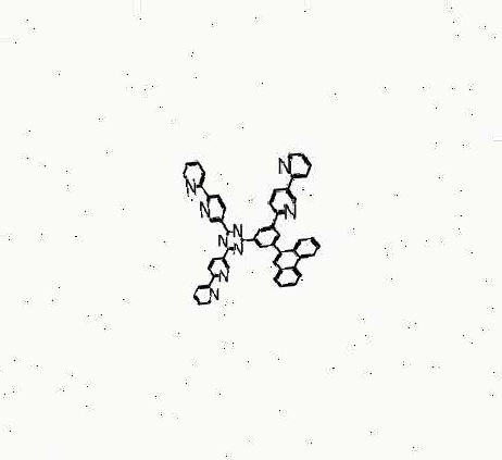 c1ccc(-c2ccc(-c3cc(-c4nc(-c5ccc(-c6ccccn6)nc5)nc(-c5ccc(-c6ccccn6)nc5)n4)cc(-c4cc5ccccc5c5ccccc45)c3)nc2)nc1